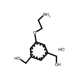 Cl.NCCOc1cc(CO)cc(CO)c1